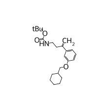 C=C(CCNC(=O)OC(C)(C)C)c1cccc(OCC2CCCCC2)c1